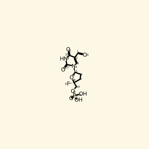 O=Cc1cn([C@H]2CC[C@@](F)(COP(=O)(O)O)O2)c(=O)[nH]c1=O